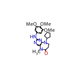 COc1cc(Nc2ncc3c(n2)N(C2CCCC2)CCC(=O)N3C)cc(OC)c1OC